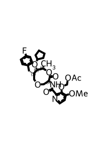 COc1ccnc(C(=O)N[C@H]2COC[C@H](Cc3ccc(F)cc3)[C@@H](OC3CCCC3)[C@H](C)OC2=O)c1OCOC(C)=O